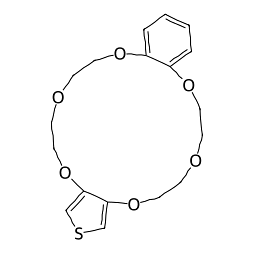 c1ccc2c(c1)OCCOCCOc1cscc1OCCOCCO2